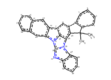 CC1(C)c2ccccc2-c2cc3c4cc5ccccc5cc4n4c3c(c21)n1c2ccccc2nc14